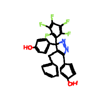 Oc1ccc(C2=C(Cc3ccccc3)C(c3ccc(O)cc3)(c3c(F)c(F)c(F)c(F)c3F)N=N2)cc1